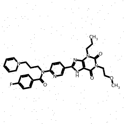 CCCn1c(=O)n(CCOC)c(=O)c2[nH]c(-c3ccc(N(CCCN4C=CC=CC4)C(=O)c4ccc(F)cc4)nc3)nc21